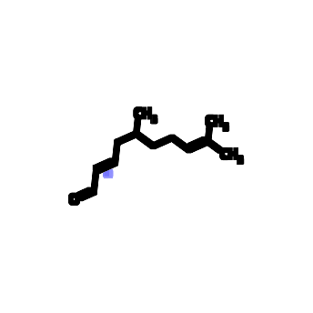 CC(C)=CCCC(C)C/C=C/C=O